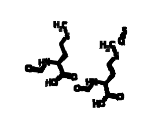 CSCC[C@H](NC=O)C(=O)O.CSCC[C@H](NC=O)C(=O)O.O=S